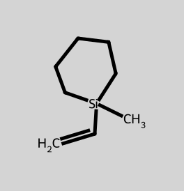 C=C[Si]1(C)CCCCC1